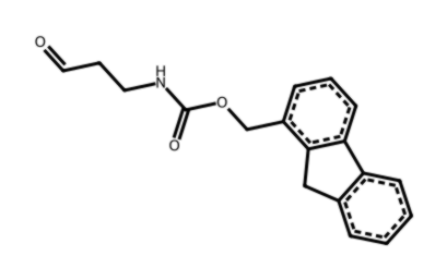 O=CCCNC(=O)OCc1cccc2c1Cc1ccccc1-2